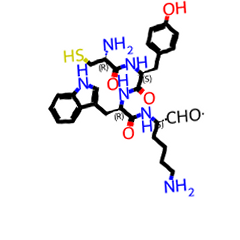 NCCCC[C@@H]([C]=O)NC(=O)[C@@H](Cc1c[nH]c2ccccc12)NC(=O)[C@H](Cc1ccc(O)cc1)NC(=O)[C@@H](N)CS